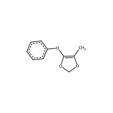 CC1=C(Oc2ccccc2)OCO1